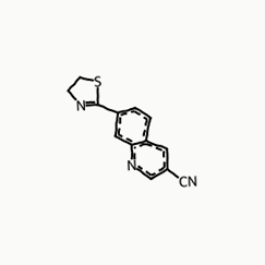 N#Cc1cnc2cc(C3=NCCS3)ccc2c1